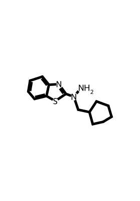 NN(CC1CCCCC1)c1nc2ccccc2s1